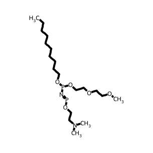 CCCCCCCCCCOP(N=POCCN(C)C)OCCOCCOC